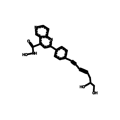 O=C(NO)c1cc(-c2ccc(C#CC#CCC(O)CO)cc2)nc2ccncc12